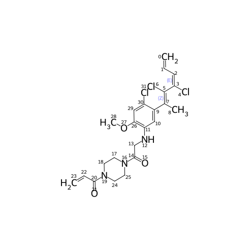 C=C/C=C(Cl)\C(Cl)=C(/C)c1cc(NCC(=O)N2CCN(C(=O)C=C)CC2)c(OC)cc1Cl